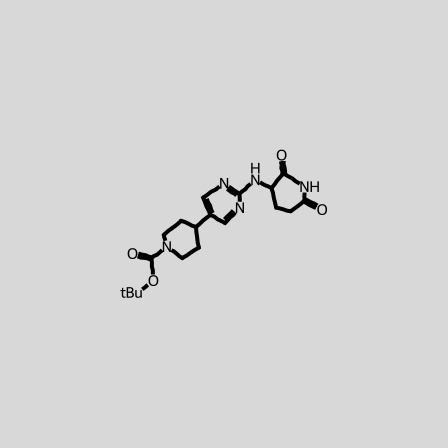 CC(C)(C)OC(=O)N1CCC(c2cnc(NC3CCC(=O)NC3=O)nc2)CC1